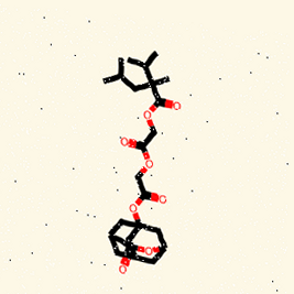 CC(C)CC(C)(C(=O)OCC(=O)OCC(=O)OC12CC3CC(C1)OC(=O)C(C3)C2)C(C)C